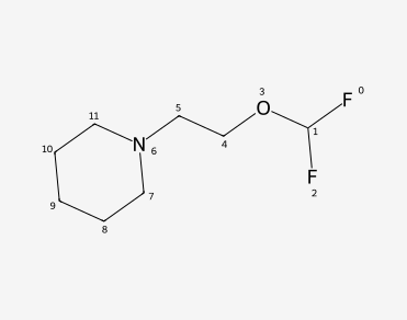 FC(F)OCCN1CCCCC1